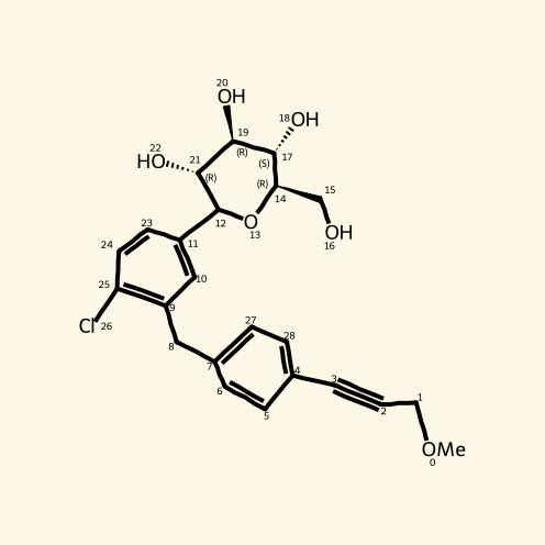 COCC#Cc1ccc(Cc2cc(C3O[C@H](CO)[C@@H](O)[C@H](O)[C@H]3O)ccc2Cl)cc1